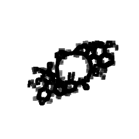 CCn1c(-c2cccnc2[C@H](C)OC)c2c3cc(ccc31)-c1csc(n1)C[C@H](NC(=O)C(C(C)C)N(C)C(=O)N1CCOC[C@@H]1c1ccccc1)C(=O)N1CCC[C@H](N1)C(=O)OCC(C)(C)C2